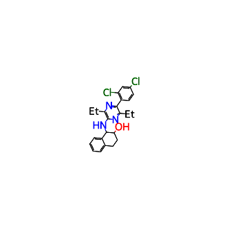 CCc1nc(-c2ccc(Cl)cc2Cl)c(CC)nc1NC1c2ccccc2CCC1O